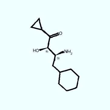 N[C@@H](CC1CCCCC1)[C@@H](O)C(=O)C1CC1